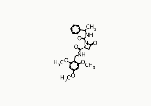 COc1cc(OC)c(CNC(=O)[C@@H]2CC(=O)N2C(=O)NC(C)c2ccccc2)c(OC)c1